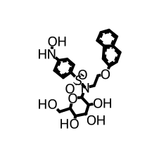 O=S(=O)(c1ccc(NO)cc1)N(CCOc1ccc2ccccc2c1)C1OC(CO)C(O)C(O)C1O